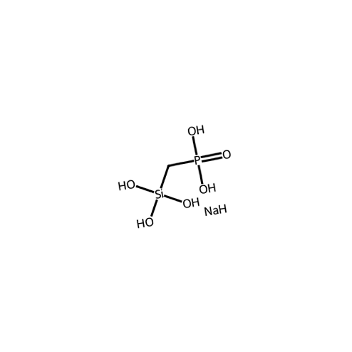 O=P(O)(O)C[Si](O)(O)O.[NaH]